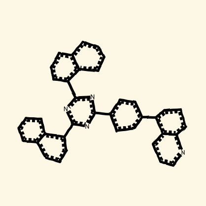 c1ccc2c(-c3nc(-c4ccc(-c5cccc6ncccc56)cc4)nc(-c4cccc5ccccc45)n3)cccc2c1